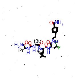 CC(C)[C@H](NC(=O)N[C@H](C(=O)N1CC2C([C@H]1C(=O)N[C@@H](CC(F)F)C(=O)NCCc1ccc(C(N)=O)cc1)C2(C)C)C(C)(C)C)C(N)=O